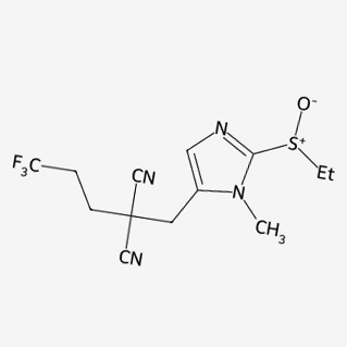 CC[S+]([O-])c1ncc(CC(C#N)(C#N)CCC(F)(F)F)n1C